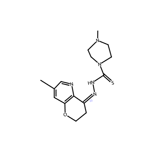 Cc1cnc2c(c1)OCC/C2=N/NC(=S)N1CCN(C)CC1